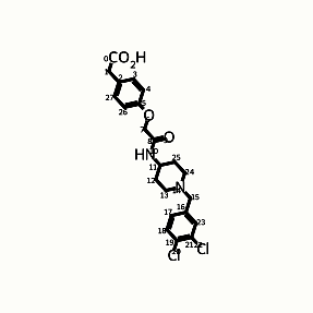 O=C(O)Cc1ccc(OCC(=O)NC2CCN(Cc3ccc(Cl)c(Cl)c3)CC2)cc1